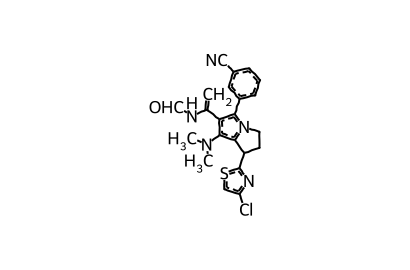 C=C(NC=O)c1c(N(C)C)c2n(c1-c1cccc(C#N)c1)CCC2c1nc(Cl)cs1